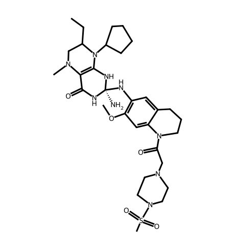 CCC1CN(C)C2=C(N[C@@](N)(Nc3cc4c(cc3OC)N(C(=O)CN3CCN(S(C)(=O)=O)CC3)CCC4)NC2=O)N1C1CCCC1